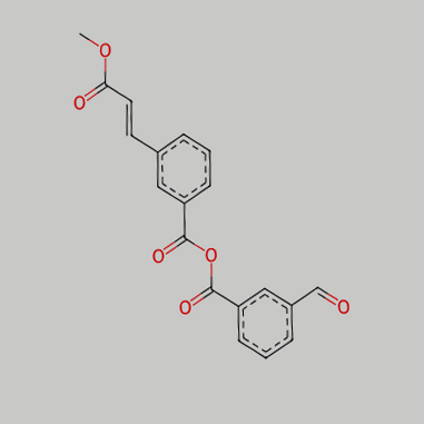 COC(=O)/C=C/c1cccc(C(=O)OC(=O)c2cccc(C=O)c2)c1